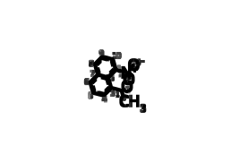 CC(=O)c1cccc2cccc([N+](=O)[O-])c12